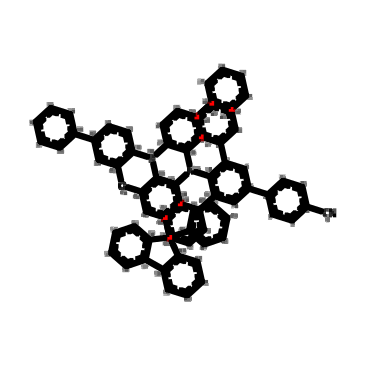 N#Cc1ccc(-c2cc(-c3ccccc3)c(N3c4cc(-c5ccccc5)ccc4B4c5ccc(-c6ccccc6)cc5Oc5cc(C6(c7ccccc7)c7ccccc7-c7ccccc76)cc3c54)c(-c3ccccc3)c2)cc1